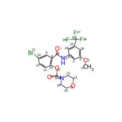 COc1cc(NC(=O)c2cc(Br)ccc2OC(=O)N2CCOCC2)cc(C(F)(F)F)c1